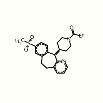 CCC(=O)N1CCC(=C2c3ccc(S(C)(=O)=O)cc3CCc3cccnc32)CC1